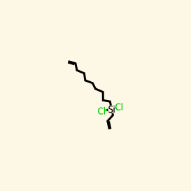 C=CCCCCCCCC[Si](Cl)(Cl)CC=C